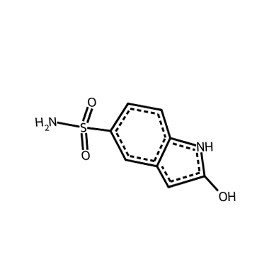 NS(=O)(=O)c1ccc2[nH]c(O)cc2c1